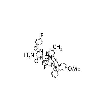 CO[C@@H]1CC[C@@](C#Cc2cc(C)cnn2)(C(=O)N2CC[C@](O)(Cn3cnc(Oc4ccc(F)cc4)c(N)c3=O)C(F)(F)C2)[C@@H](c2ccccc2)C1